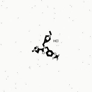 CCN1CC2C(C1)C2CN(Cc1cccc(OC(F)(F)F)c1)C(=O)c1cn(C)cn1.Cl